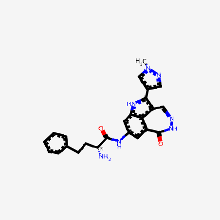 Cn1cc(-c2[nH]c3cc(NC(=O)[C@H](N)CCc4ccccc4)cc4c3c2C=NNC4=O)cn1